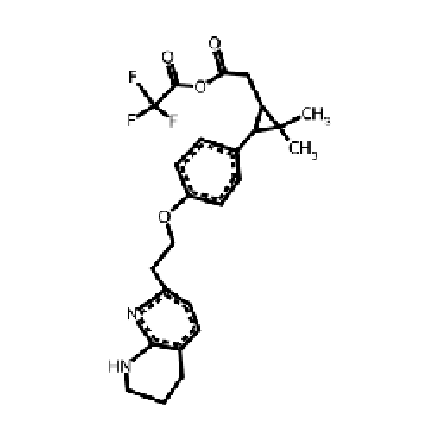 CC1(C)C(CC(=O)OC(=O)C(F)(F)F)C1c1ccc(OCCc2ccc3c(n2)NCCC3)cc1